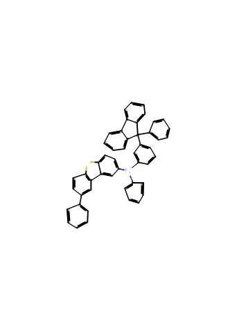 c1ccc(-c2ccc3sc4ccc(N(c5ccccc5)c5cccc(C6(c7ccccc7)c7ccccc7-c7ccccc76)c5)cc4c3c2)cc1